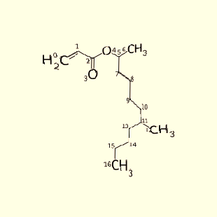 C=CC(=O)OC(C)CCCCC(C)CCCC